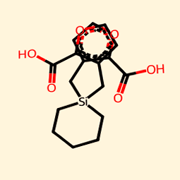 O=C(O)c1occc1C[Si]1(Cc2ccoc2C(=O)O)CCCCC1